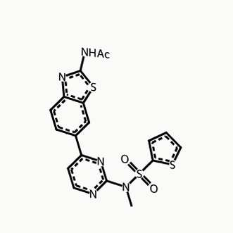 CC(=O)Nc1nc2ccc(-c3ccnc(N(C)S(=O)(=O)c4cccs4)n3)cc2s1